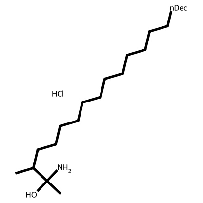 CCCCCCCCCCCCCCCCCCCCCCC(C)C(C)(N)O.Cl